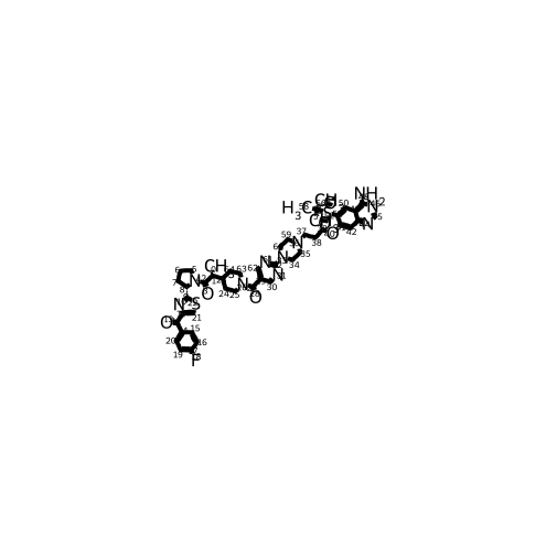 C[C@H](C(=O)N1CCC[C@H]1c1nc(C(=O)c2ccc(F)cc2)cs1)C1CCN(C(=O)c2cnc(N3CCN(CCCOc4cc5ncnc(N)c5cc4S(=O)(=O)C(C)(C)C)CC3)nc2)CC1